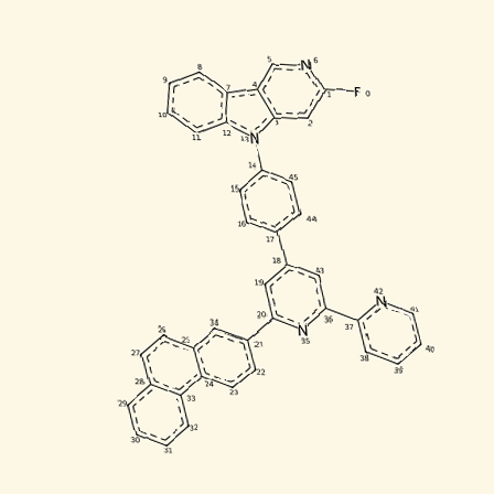 Fc1cc2c(cn1)c1ccccc1n2-c1ccc(-c2cc(-c3ccc4c(ccc5ccccc54)c3)nc(-c3ccccn3)c2)cc1